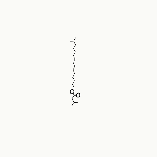 CC(C)CCCCCCCCCCCCCOC(=O)CC(C)C